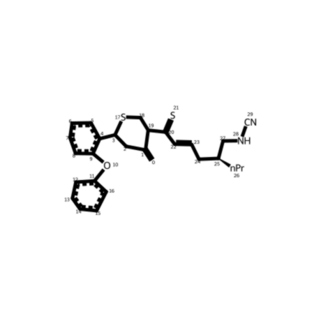 C=C1CC(c2ccccc2Oc2ccccc2)SCC1C(=S)/C=C/C[C@H](CCC)CNC#N